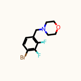 Fc1c(Br)ccc(CN2CCOCC2)c1F